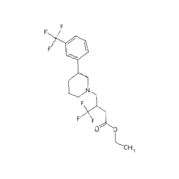 CCOC(=O)CC(CN1CCCC(c2cccc(C(F)(F)F)c2)C1)C(F)(F)F